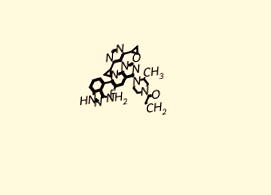 C=CC(=O)N1CCN(c2nc(=O)n(-c3c(C4CC4)ncnc3C3CC3)c3nc(-c4cccc5[nH]nc(N)c45)c(F)cc23)[C@@H](C)C1